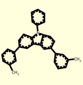 Cc1cccc(-c2ccc3c(c2)c2cc(-c4cccc(C)c4)ccc2n3-c2ccccc2)c1